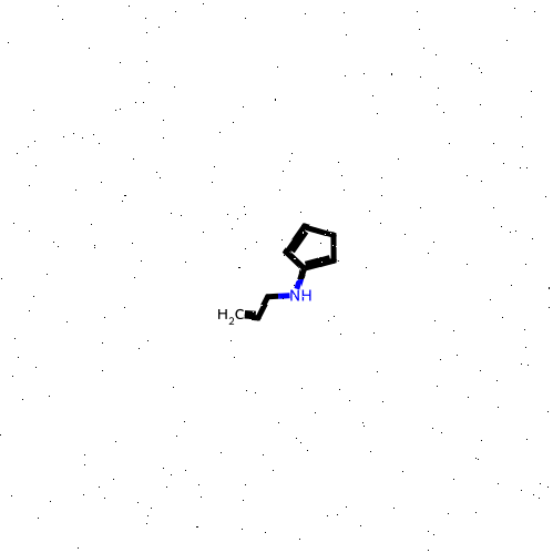 C=CCNC1=[C]CC=C1